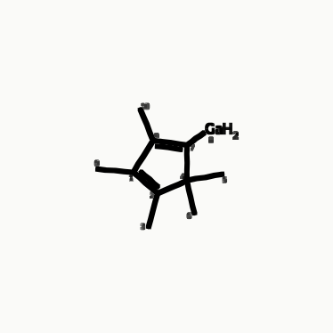 CC1=C(C)C(C)(C)[C]([GaH2])=C1C